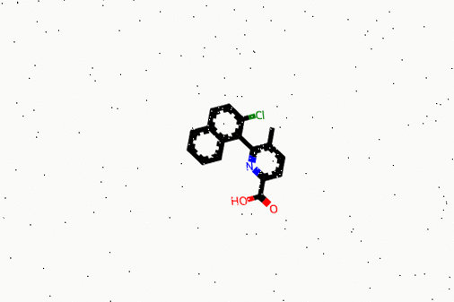 Cc1ccc(C(=O)O)nc1-c1c(Cl)ccc2ccccc12